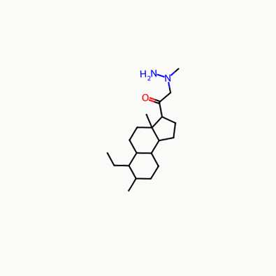 CCC1C(C)CCC2C1CCC1(C)C(C(=O)CN(C)N)CCC21